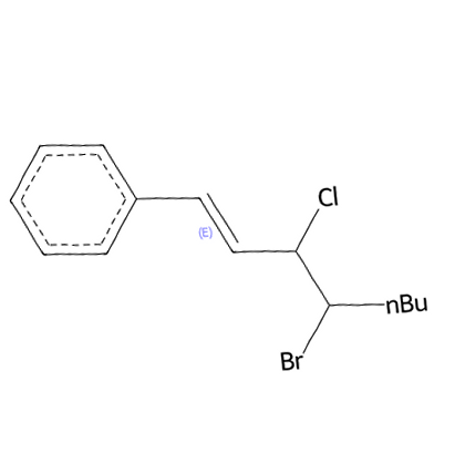 CCCCC(Br)C(Cl)/C=C/c1ccccc1